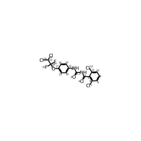 O=C(NC(=O)c1c(Cl)cccc1Cl)Nc1ccc(OC(F)(F)C(Cl)Cl)cc1